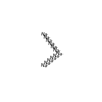 [Na].[Na].[Na].[Na].[Na].[Na].[Na].[Na].[Na].[Na].[Na].[Na]